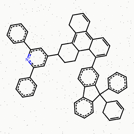 C1=CCC(C2(c3ccccc3)c3ccccc3-c3ccc(C4=CC=CC5=C6C=CCCC6=C6CC(c7cc(-c8ccccc8)nc(-c8ccccc8)c7)CCC6C45)cc32)C=C1